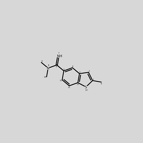 Cc1cc2cc(C(=N)N(C)C)ccc2s1